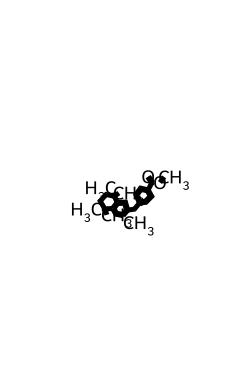 COC(=O)c1ccc(Cc2cc3c(cc2C)C(C)(C)CCC3(C)C)cc1